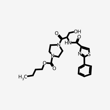 CCCCOC(=O)N1CCN(C(=O)C(CO)NC(=O)c2csc(-c3ccccc3)n2)CC1